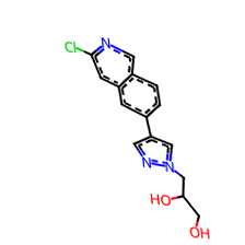 OCC(O)Cn1cc(-c2ccc3cnc(Cl)cc3c2)cn1